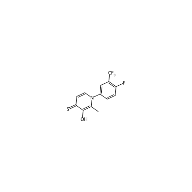 Cc1c(O)c(=S)ccn1-c1ccc(F)c(C(F)(F)F)c1